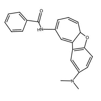 CN(C)c1ccc2c(c1)C1=CC(NC(=O)c3ccccc3)=CC=CC1O2